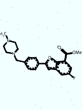 COC(=O)c1cc(F)cc2cc(-c3ccc(CN4CCN(C)CC4)cc3)oc12